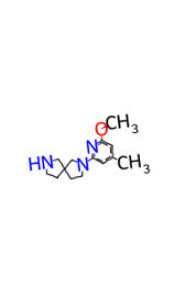 COc1cc(C)cc(N2CCC3(CCNC3)C2)n1